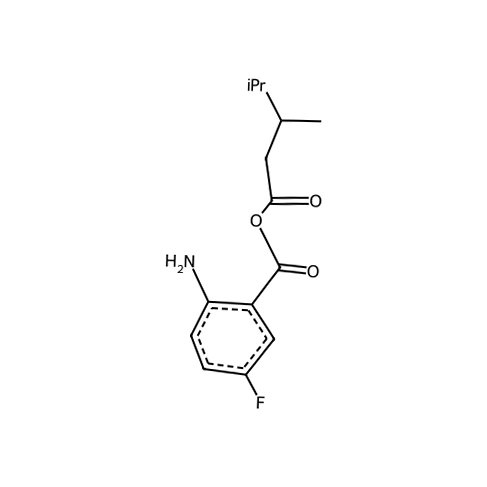 CC(C)C(C)CC(=O)OC(=O)c1cc(F)ccc1N